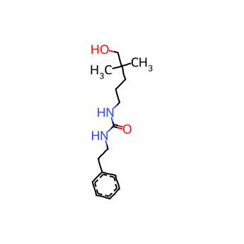 CC(C)(CO)CCCNC(=O)NCCc1ccccc1